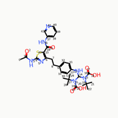 CC(=O)Nc1nc(CCc2ccc(NC(N(C(=O)O)C(C)(C)C)N(C(=O)O)C(C)(C)C)cc2)c(C(=O)Nc2cccnc2)s1